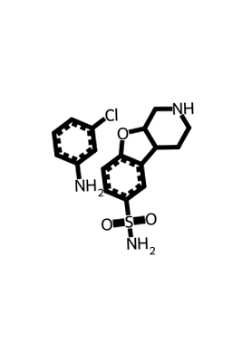 NS(=O)(=O)c1ccc2c(c1)C1CCNCC1O2.Nc1cccc(Cl)c1